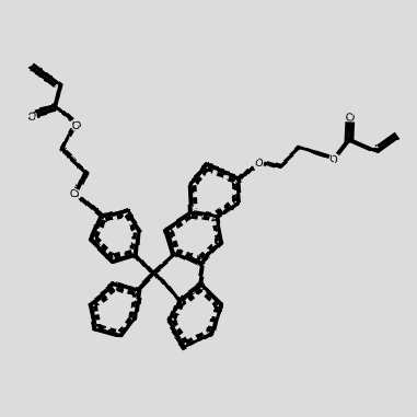 C=CC(=O)OCCOc1ccc(C2(c3ccccc3)c3ccccc3-c3cc4cc(OCCOC(=O)C=C)ccc4cc32)cc1